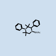 CC(=O)NN1CC(C)(C)N(c2ccccc2)C(C)(C)C1c1ccccc1